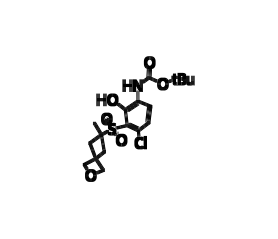 CC(C)(C)OC(=O)Nc1ccc(Cl)c(S(=O)(=O)C2(C)CC3(COC3)C2)c1O